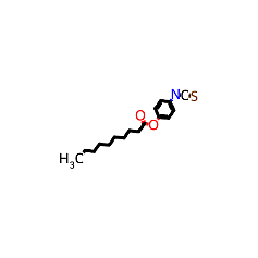 CCCCCCCCCC(=O)Oc1ccc(N=C=S)cc1